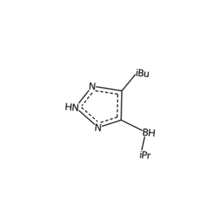 CCC(C)c1n[nH]nc1BC(C)C